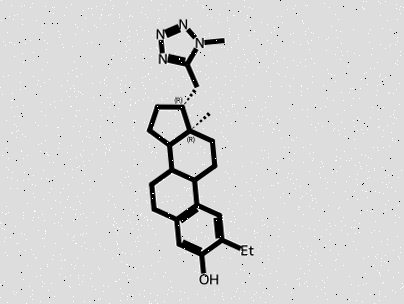 CCc1cc2c(cc1O)CCC1C2CC[C@@]2(C)C1CC[C@@H]2Cc1nnnn1C